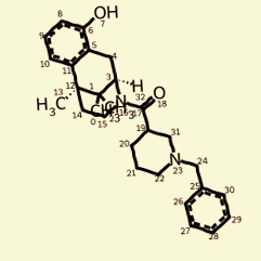 CC1(C)[C@H]2Cc3c(O)cccc3[C@]1(C)CCN2C(=O)C1CCCN(Cc2ccccc2)C1